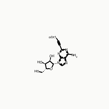 CCCCCCCCC#Cc1nc(N)c2ncn([C@@H]3O[C@H](CO)[C@@H](O)[C@H]3O)c2n1